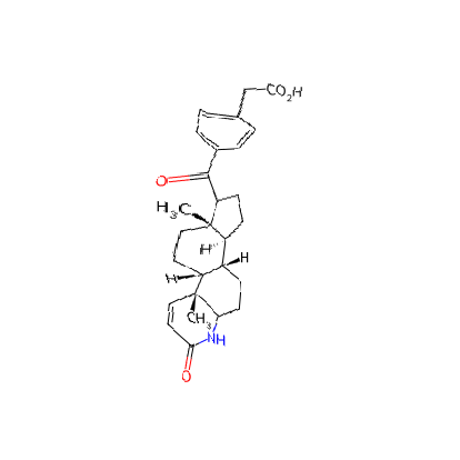 C[C@]12C=CC(=O)NC1CC[C@@H]1[C@H]2CC[C@]2(C)C(C(=O)c3ccc(CC(=O)O)cc3)CC[C@@H]12